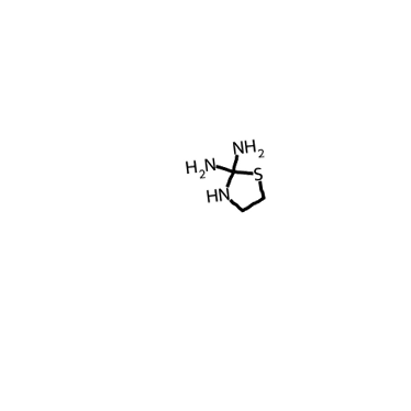 NC1(N)NCCS1